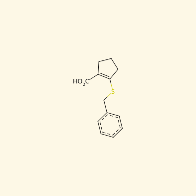 O=C(O)C1=C(SCc2ccccc2)CCC1